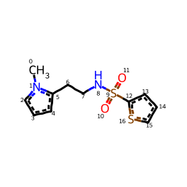 Cn1cccc1CCNS(=O)(=O)c1cccs1